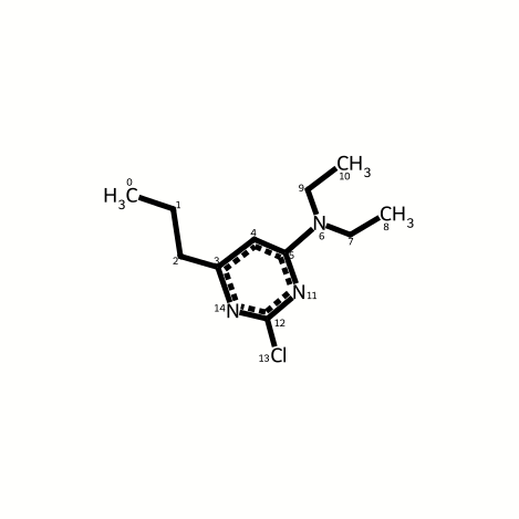 CCCc1cc(N(CC)CC)nc(Cl)n1